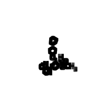 CS(=O)(=O)N[C@H]1CCN(c2nccc3ocnc23)C[C@H]1CO[C@H]1CC[C@@H](c2ccccc2)CC1